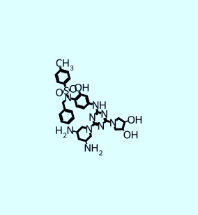 Cc1ccc(S(=O)(=O)N(Cc2ccccc2)c2ccc(Nc3nc(N4C[C@H](N)C[C@H](N)C4)nc(N4C[C@@H](O)[C@@H](O)C4)n3)cc2O)cc1